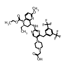 CCOC(=O)N1c2ccc(OC)nc2[C@@H](Nc2ncc(N3CCN(CC(=O)O)CC3)c(Cc3cc(C(F)(F)F)cc(C(F)(F)F)c3)n2)C[C@H]1CC